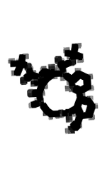 CN1CCCNc2c(C#N)cccc2-c2cccc(n2)N(C(=O)OC(C)(C)C)[C@H]2C[C@@H](C1=O)N(C(=O)OC(C)(C)C)C2